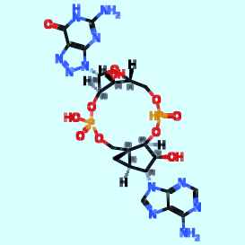 Nc1nc2c(nnn2[C@@H]2O[C@@H]3CO[PH](=O)O[C@H]4[C@@H](O)[C@H](n5cnc6c(N)ncnc65)[C@H]5C[C@]54COP(=O)(O)O[C@@H]2[C@@H]3O)c(=O)[nH]1